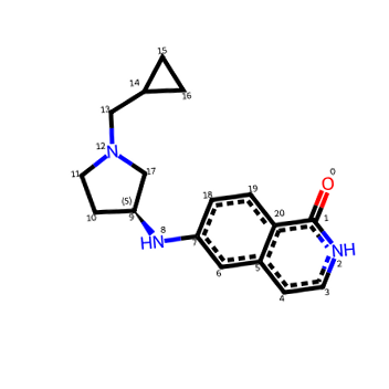 O=c1[nH]ccc2cc(N[C@H]3CCN(CC4CC4)C3)ccc12